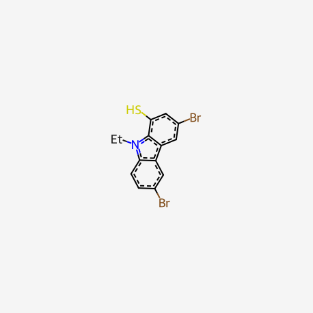 CCn1c2ccc(Br)cc2c2cc(Br)cc(S)c21